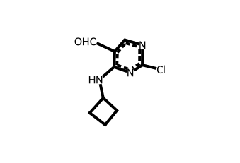 O=Cc1cnc(Cl)nc1NC1CCC1